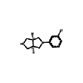 Clc1cccc(N2C[C@H]3CNC[C@H]3C2)c1